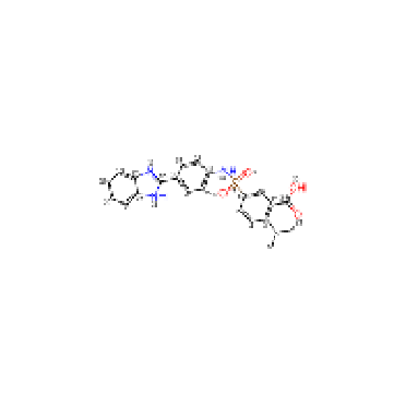 CC(C)c1ccc(S(=O)(=O)Nc2ccc(-c3nc4ccccc4[nH]3)cc2)cc1C(=O)O